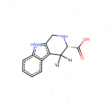 [2H]C1([2H])c2c([nH]c3ccccc23)CN[C@@H]1C(=O)O